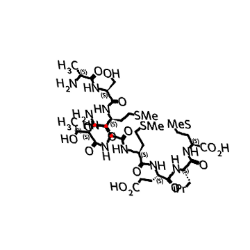 CSCC[C@H](NC(=O)[C@H](CC(C)C)NC(=O)[C@H](CCC(=O)O)NC(=O)[C@H](CCSC)NC(=O)[C@H](CC(N)=O)NC(=O)[C@@H](NC(=O)[C@H](CCSC)NC(=O)[C@H](CO)NC(=O)[C@H](C)N)[C@@H](C)O)C(=O)O